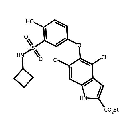 CCOC(=O)c1cc2c(Cl)c(Oc3ccc(O)c(S(=O)(=O)NC4CCC4)c3)c(Cl)cc2[nH]1